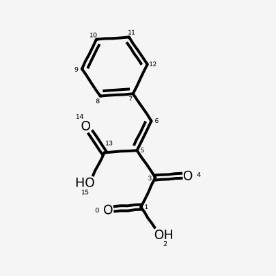 O=C(O)C(=O)C(=Cc1ccccc1)C(=O)O